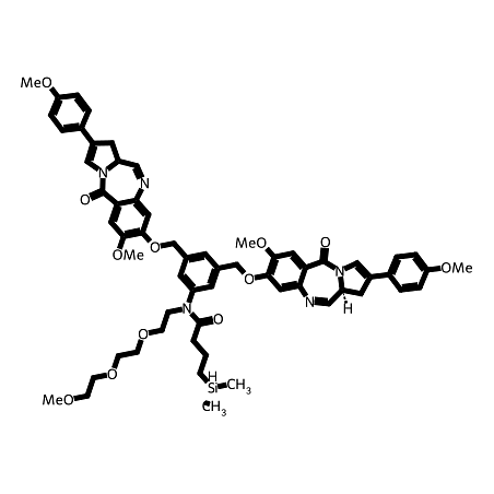 COCCOCCOCCN(C(=O)CCC[SiH](C)C)c1cc(COc2cc3c(cc2OC)C(=O)N2C=C(c4ccc(OC)cc4)CC2C=N3)cc(COc2cc3c(cc2OC)C(=O)N2C=C(c4ccc(OC)cc4)C[C@H]2C=N3)c1